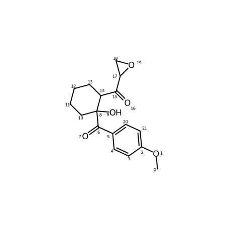 COc1ccc(C(=O)C2(O)CCCCC2C(=O)C2CO2)cc1